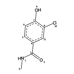 CNC(=O)c1ccc(O)c(Cl)c1